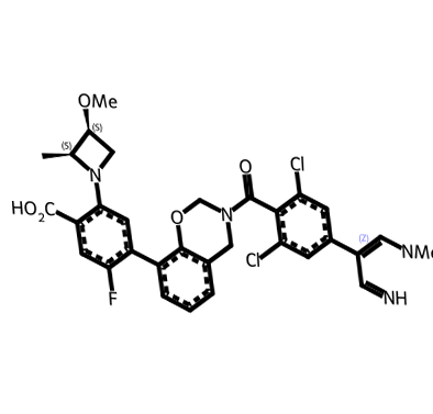 CN/C=C(\C=N)c1cc(Cl)c(C(=O)N2COc3c(cccc3-c3cc(N4C[C@H](OC)[C@@H]4C)c(C(=O)O)cc3F)C2)c(Cl)c1